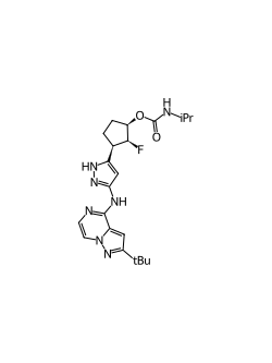 CC(C)NC(=O)O[C@@H]1CC[C@H](c2cc(Nc3nccn4nc(C(C)(C)C)cc34)n[nH]2)[C@@H]1F